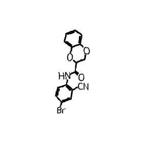 N#Cc1cc(Br)ccc1NC(=O)C1COc2ccccc2O1